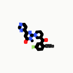 COc1ccc(F)cc1C(=O)C1CCCN(c2nc(-c3ccncn3)cc(=O)n2C)C1